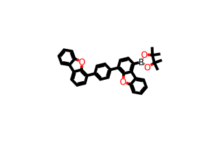 CC1(C)OB(c2ccc(-c3ccc(-c4cccc5c4oc4ccccc45)cc3)c3oc4ccccc4c23)OC1(C)C